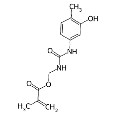 C=C(C)C(=O)OCNC(=O)Nc1ccc(C)c(O)c1